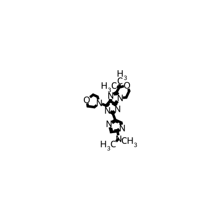 CN(C)c1cnc(-c2nc(N3CCOCC3)c3nc4n(c3n2)CCOC4(C)C)cn1